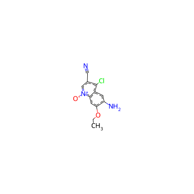 CCOc1cc2c(cc1N)c(Cl)c(C#N)c[n+]2[O-]